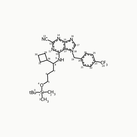 CC(C)(C)[Si](C)(C)OCCCC(Nc1nc(C#N)nc2ncn(Cc3ccc(C(F)(F)F)cc3)c12)C1CCC1